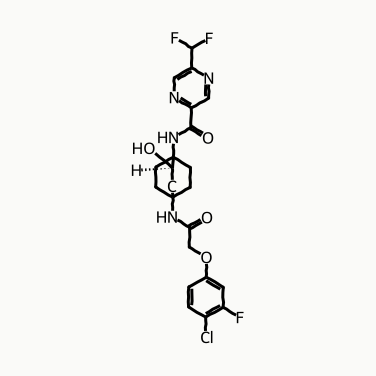 O=C(COc1ccc(Cl)c(F)c1)NC12CCC(NC(=O)c3cnc(C(F)F)cn3)(CC1)[C@H](O)C2